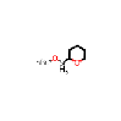 CCCCO[SiH2]C1CCCCO1